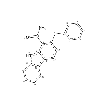 NC(=O)c1c(Cc2ccccc2)ccc2c1[nH]c1ccccc12